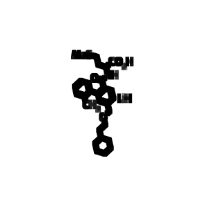 CSCCC(NC(=O)c1ccc(COCCC2CCCCC2)cc1-c1ccccc1C)C(=O)O.[LiH]